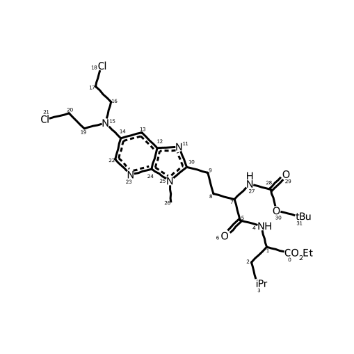 CCOC(=O)C(CC(C)C)NC(=O)C(CCc1nc2cc(N(CCCl)CCCl)cnc2n1C)NC(=O)OC(C)(C)C